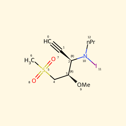 C#C[C@H]([C@H](CS(C)(=O)=O)OC)N(I)CCC